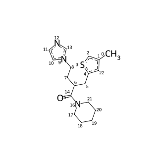 Cc1csc(CC(CCn2ccnc2)C(=O)N2CCCCC2)c1